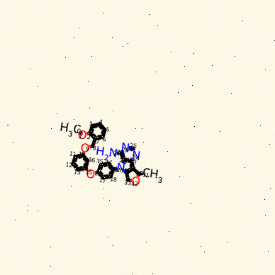 COc1ccccc1COc1cccc(Oc2ccc(-n3c4c(c5ncnc(N)c53)C(C)OC4)cc2)c1